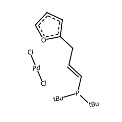 CC(C)(C)P(C=CCc1ccco1)C(C)(C)C.[Cl][Pd][Cl]